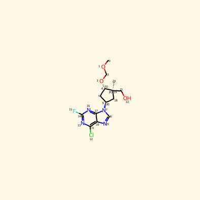 COCO[C@H]1C[C@H](n2cnc3c(Cl)nc(F)nc32)C[C@]1(C)CO